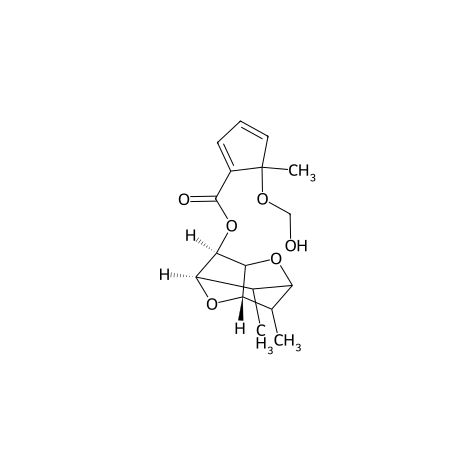 CC1C2OC3[C@H]1O[C@H](C2C)[C@H]3OC(=O)C1=CC=CC1(C)OCO